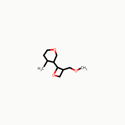 COCC1COC1C1COCCC1C